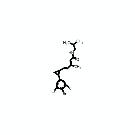 CC(C=CC1CC1c1cc(Cl)c(Br)c(Cl)c1)=CC(=O)NCC(C)C